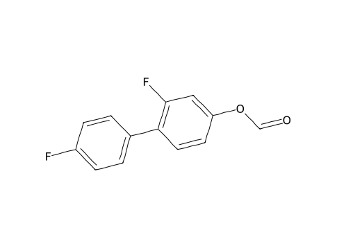 O=COc1ccc(-c2ccc(F)cc2)c(F)c1